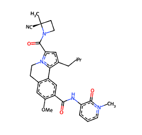 COc1cc2c(cc1C(=O)Nc1cccn(C)c1=O)-c1c(CC(C)C)cc(C(=O)N3CC[C@]3(C)C#N)n1CC2